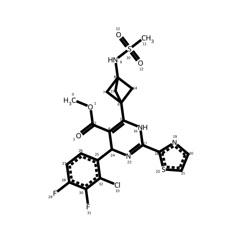 COC(=O)C1=C(C23CC(NS(C)(=O)=O)(C2)C3)NC(c2nccs2)=NC1c1ccc(F)c(F)c1Cl